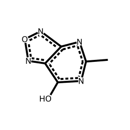 Cc1nc(O)c2nonc2n1